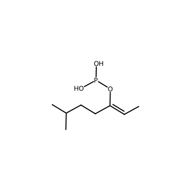 CC=C(CCC(C)C)OP(O)O